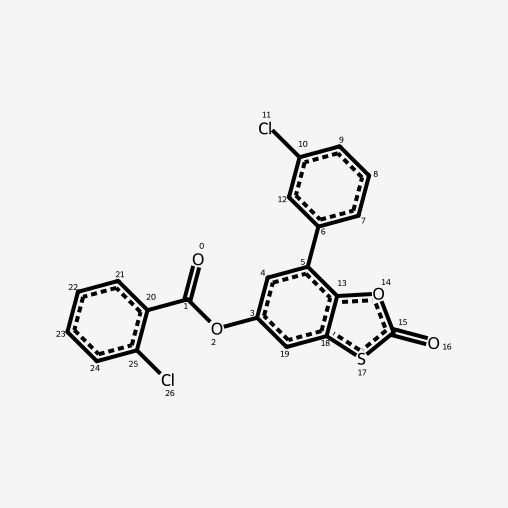 O=C(Oc1cc(-c2cccc(Cl)c2)c2oc(=O)sc2c1)c1ccccc1Cl